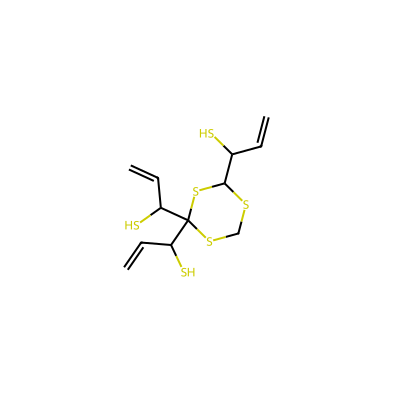 C=CC(S)C1SCSC(C(S)C=C)(C(S)C=C)S1